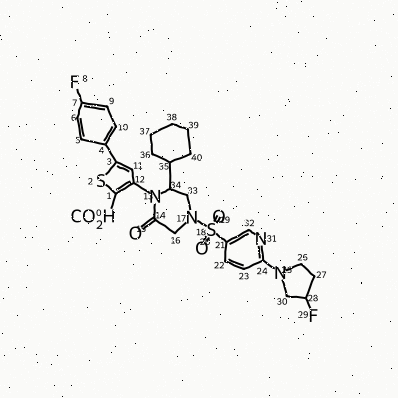 O=C(O)c1sc(-c2ccc(F)cc2)cc1N1C(=O)CN(S(=O)(=O)c2ccc(N3CCC(F)C3)nc2)CC1C1CCCCC1